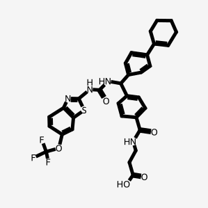 O=C(O)CCNC(=O)c1ccc(C(NC(=O)Nc2nc3ccc(OC(F)(F)F)cc3s2)c2ccc(C3=CCCCC3)cc2)cc1